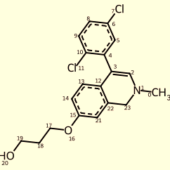 CN1C=C(c2cc(Cl)ccc2Cl)c2ccc(OCCCO)cc2C1